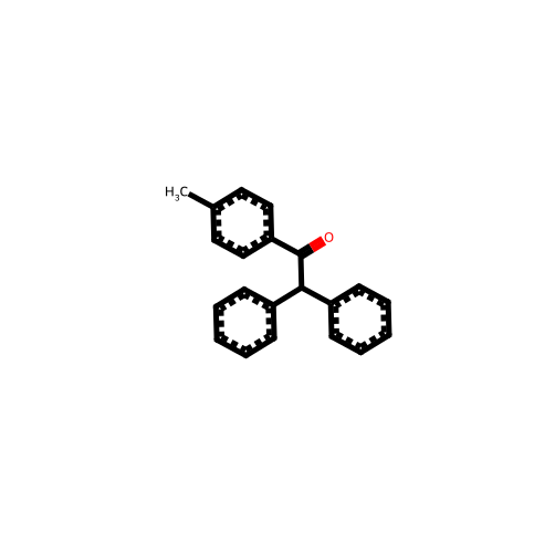 Cc1ccc(C(=O)C(c2ccccc2)c2ccccc2)cc1